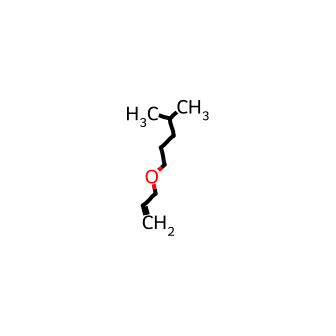 C=CCOCCCC(C)C